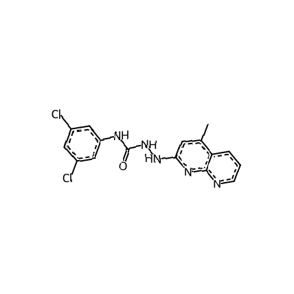 Cc1cc(NNC(=O)Nc2cc(Cl)cc(Cl)c2)nc2ncccc12